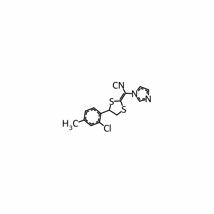 [C-]#[N+]/C(=C1/SCC(c2ccc(C)cc2Cl)S1)n1ccnc1